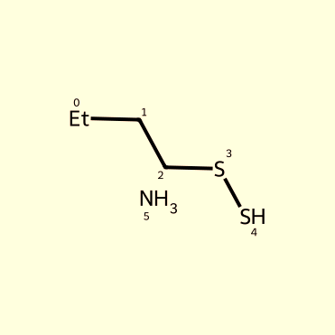 CCCCSS.N